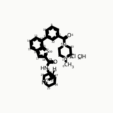 CN1CCN(C(=O)c2cccc(-c3cccc4cc(C(=O)N[C@H]5CN6CCC5CC6)sc34)c2)CC1.Cl.Cl